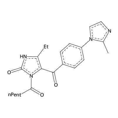 CCCCCC(=O)n1c(C(=O)c2ccc(-n3ccnc3C)cc2)c(CC)[nH]c1=O